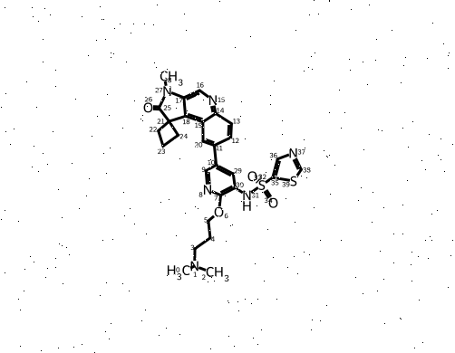 CN(C)CCCOc1ncc(-c2ccc3ncc4c(c3c2)C2(CCC2)C(=O)N4C)cc1NS(=O)(=O)c1cncs1